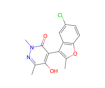 Cc1nn(C)c(=O)c(-c2c(C)oc3ccc(Cl)cc23)c1O